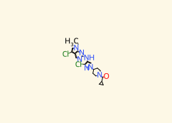 CCn1cc(Cl)c2cnc(Nc3cn(C4CCN(C(=O)C5CC5)CC4)nc3Cl)nc21